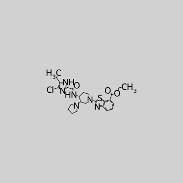 CCOC(=O)c1cccc2nc(N3CCC(NC(=O)c4nc(Cl)c(CC)[nH]4)C(N4CCCC4)C3)sc12